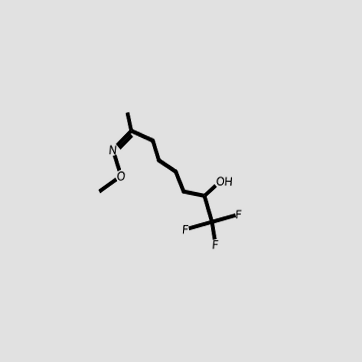 CO/N=C(/C)CCCCC(O)C(F)(F)F